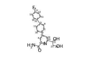 NC(=O)c1cc(-c2ccc(-c3ccc(F)cc3)cc2)cc(C(O)CO)n1